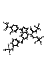 COC(=O)c1ccc(-c2cnc3c(N(CCC(F)(F)F)C(=O)OC(C)(C)C)cc(Oc4cccc(OC(F)(F)F)c4)cn23)cc1C